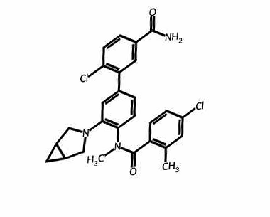 Cc1cc(Cl)ccc1C(=O)N(C)c1ccc(-c2cc(C(N)=O)ccc2Cl)cc1N1CC2CC2C1